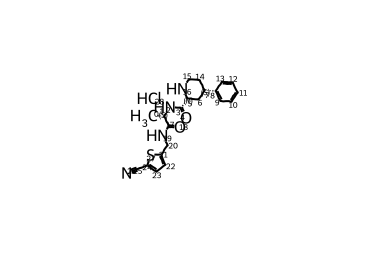 C[C@H](NC(=O)[C@H]1C[C@@H](c2ccccc2)CCN1)C(=O)NCc1ccc(C#N)s1.Cl